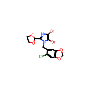 Clc1cc2c(cc1Cn1c(C3OCCO3)nc(Br)c1Br)OCO2